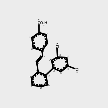 O=C(O)c1ccc(/C=C/c2ccccc2-c2cc(Cl)cc(Cl)c2)cc1